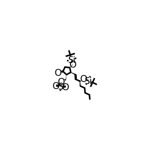 CCCCC[C@@H](C=C[C@@H]1[C@@H](O[Si](C)(C)C(C)(C)C)CC(=O)[C@H]1COS(C)(=O)=O)O[Si](C)(C)C(C)(C)C